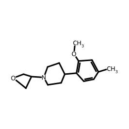 COc1cc(C)ccc1C1CCN(C2COC2)CC1